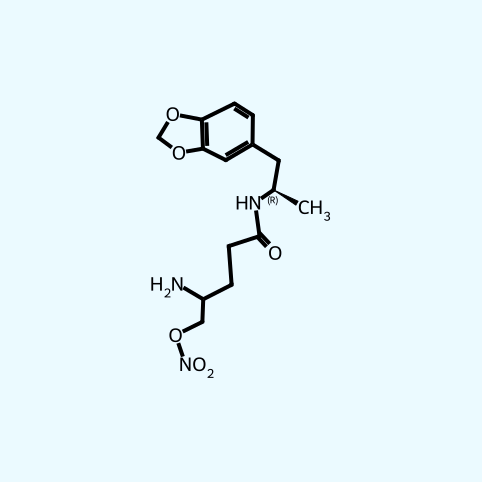 C[C@H](Cc1ccc2c(c1)OCO2)NC(=O)CCC(N)CO[N+](=O)[O-]